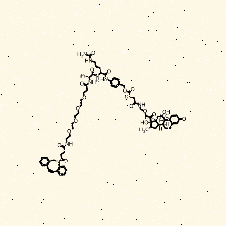 CC(C)[C@H](NC(=O)CCOCCOCCOCCOCCNC(=O)CCC(=O)N1Cc2ccccc2C#Cc2ccccc21)C(=O)N[C@@H](CCCNC(N)=O)C(=O)Nc1ccc(COC(=O)NCC(=O)NCOCC(=O)[C@@]2(O)[C@H](C)C[C@H]3[C@@H]4CCC5=CC(=O)C=C[C@]5(C)[C@@]4(F)[C@@H](O)C[C@@]32C)cc1